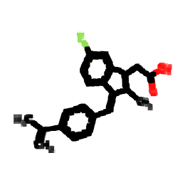 C=C(C)c1ccc(/C=C2/C(C)=C(CC(=O)O)c3cc(F)ccc32)cc1